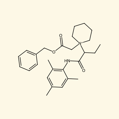 CCC(C(=O)Nc1c(C)cc(C)cc1C)[N+]1(CC(=O)OCc2ccccc2)CCCCC1